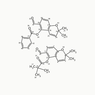 CC1(C)C=Cc2c(ccc(C=O)c2OC(=O)C(C)(C)C)O1.CC1(C)C=Cc2c(ccc(C=O)c2OC(=O)c2ccccc2)O1